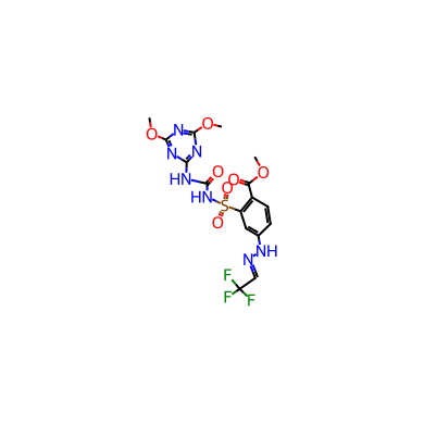 COC(=O)c1ccc(N/N=C/C(F)(F)F)cc1S(=O)(=O)NC(=O)Nc1nc(OC)nc(OC)n1